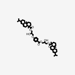 CC(C)C1=CC2=CCC3C(C)(C(=O)OCC(O)COC(=O)c4ccc(OCC(O)COC(=O)C5(C)CCCC6(C)C7CCC(C(C)C)=CC7=CCC56)cc4)CCCC3(C)C2CC1